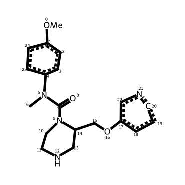 COc1ccc(N(C)C(=O)N2CCNCC2COc2cccnc2)cc1